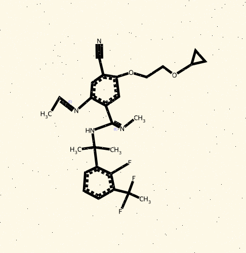 C/C=N/c1cc(C#N)c(OCCOC2CC2)cc1/C(=N\C)NC(C)(C)c1cccc(C(C)(F)F)c1F